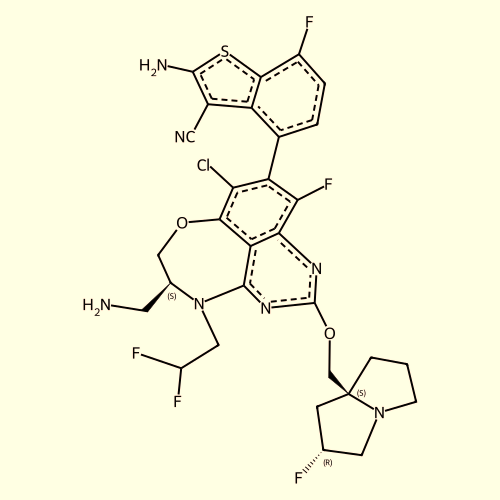 N#Cc1c(N)sc2c(F)ccc(-c3c(Cl)c4c5c(nc(OC[C@@]67CCCN6C[C@H](F)C7)nc5c3F)N(CC(F)F)[C@@H](CN)CO4)c12